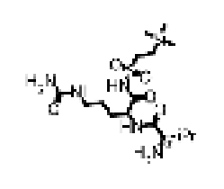 CC(C)[C@H](N)C(=O)NC(CCCNC(N)=O)C(=O)NS(=O)(=O)CC[Si](C)(C)C